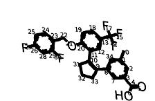 Cc1cc(C(=O)O)cc(C2=C(c3cc(C(F)(F)F)ccc3OCc3ccc(F)cc3F)CCC2)c1